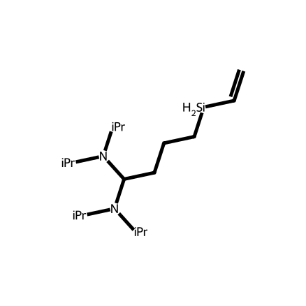 C=C[SiH2]CCCC(N(C(C)C)C(C)C)N(C(C)C)C(C)C